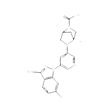 Cc1ccc2c(N)nn(-c3cncc(N4C[C@@H]5C[C@H]4CN5C(=O)O)c3)c2c1